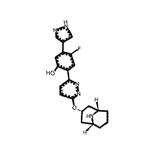 Oc1cc(-c2cn[nH]c2)c(F)cc1-c1ccc(O[C@H]2C[C@H]3CCC[C@@H](C2)N3)nn1